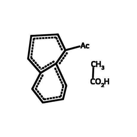 CC(=O)O.CC(=O)c1cccc2ccccc12